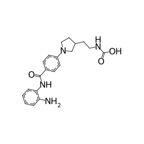 Nc1ccccc1NC(=O)c1ccc(N2CCC(CCNC(=O)O)C2)cc1